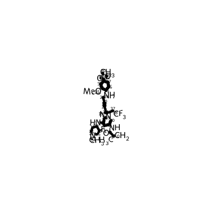 C=C(C)C(=O)Nc1cc(N[C@@H]2CCN(C)C[C@@H]2F)c2nc(C#CCNc3ccc(S(C)(=O)=O)cc3OC)c(CC(F)(F)F)n2c1